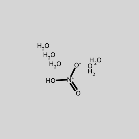 O.O.O.O.O.O=[N+]([O-])O